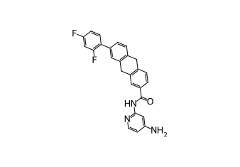 Nc1ccnc(NC(=O)c2ccc3c(c2)Cc2cc(-c4ccc(F)cc4F)ccc2C3)c1